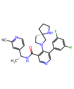 C[C@@H](NC(=O)c1cncc(-c2cc(F)cc(F)c2)c1N1CC[C@@]2(CCCN2)C1)c1ccnc(C#N)c1